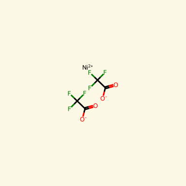 O=C([O-])C(F)(F)F.O=C([O-])C(F)(F)F.[Ni+2]